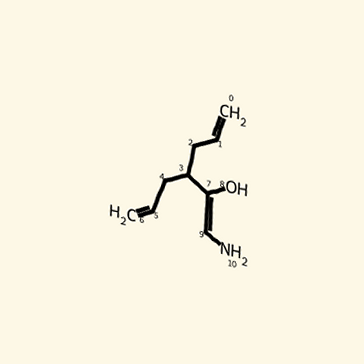 C=CCC(CC=C)C(O)=CN